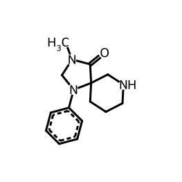 CN1CN(c2ccccc2)C2(CCCNC2)C1=O